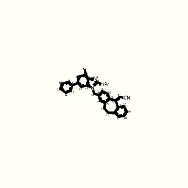 CCCc1nc2c(C)cc(-c3ccccc3)cc2n1Cc1ccc2c(c1)CCc1ccccc1C2=CC#N